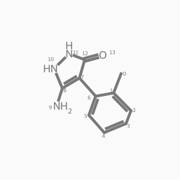 Cc1ccccc1-c1c(N)[nH][nH]c1=O